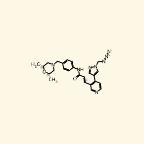 C[C@@H]1CN(Cc2ccc(NC(=O)/C=C/c3cnccc3-c3cnn(CN=[N+]=[N-])c3)cc2)C[C@H](C)O1